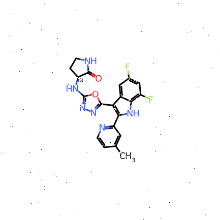 Cc1ccnc(-c2[nH]c3c(F)cc(F)cc3c2-c2nnc(N[C@H]3CCNC3=O)o2)c1